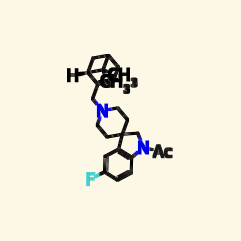 CC(=O)N1CC2(CCN(CC3=CCC4C[C@@H]3C4(C)C)CC2)c2cc(F)ccc21